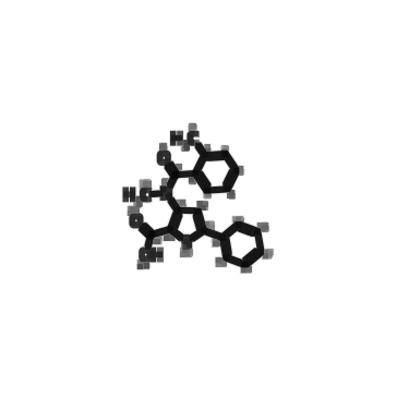 Cc1ccccc1C(=O)N(C)c1cc(-c2ccccc2)sc1C(=O)O